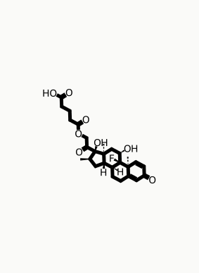 C[C@@H]1C[C@H]2[C@@H]3CCC4=CC(=O)C=C[C@]4(C)[C@@]3(F)[C@@H](O)C[C@]2(C)[C@@]1(O)C(=O)COC(=O)CCCC(=O)O